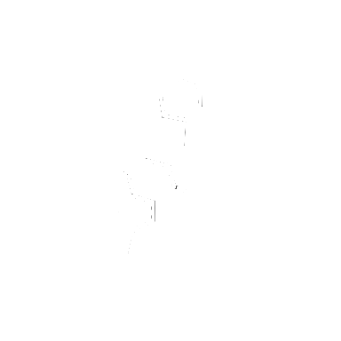 Cn1cc2c(=O)n(Cc3c(F)cccc3F)cnc2n1